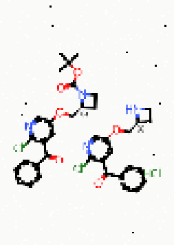 CC(C)(C)OC(=O)N1CC[C@H]1COc1cnc(Cl)c(C(=O)c2ccccc2)c1.Cl.O=C(c1ccccc1)c1cc(OC[C@@H]2CCN2)cnc1Cl